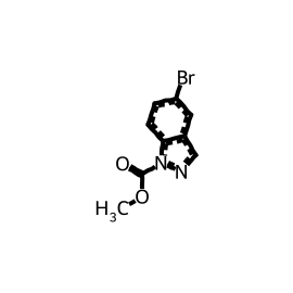 COC(=O)n1ncc2cc(Br)ccc21